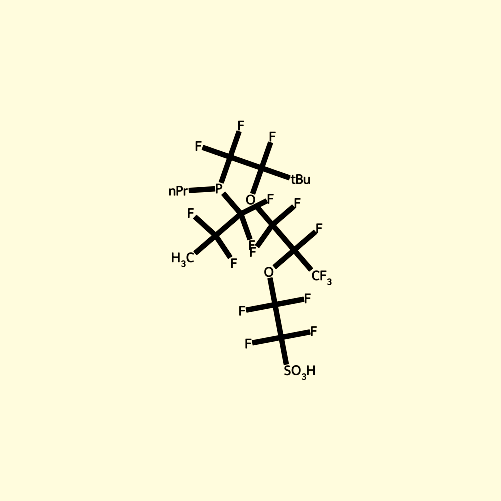 CCCP(C(F)(F)C(C)(F)F)C(F)(F)C(F)(OC(F)(F)C(F)(OC(F)(F)C(F)(F)S(=O)(=O)O)C(F)(F)F)C(C)(C)C